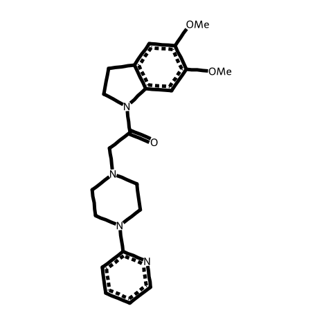 COc1cc2c(cc1OC)N(C(=O)CN1CCN(c3ccccn3)CC1)CC2